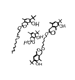 CCCCCCCCSCCOC(=O)Cc1c(C)cc(C(C)(C)C)c(O)c1C.Cc1cc(C(C)(C)C)c(O)c(C)c1CC(=O)O.Cc1cc(C(C)(C)C)c(O)c(C)c1CC(=O)OCCCCCCOC(=O)Cc1c(C)cc(C(C)(C)C)c(O)c1C